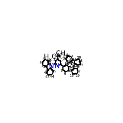 CC(C)(C)c1cc(-c2cccc([Si](c3ccccc3)(c3ccccc3)c3ccccc3)c2)nc(-n2c3ccccc3c3ccccc32)c1